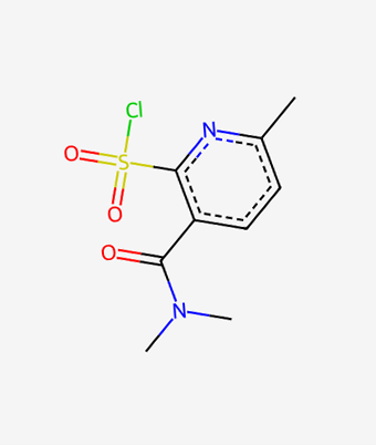 Cc1ccc(C(=O)N(C)C)c(S(=O)(=O)Cl)n1